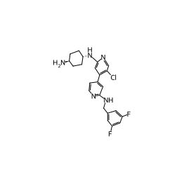 N[C@H]1CC[C@H](Nc2cc(-c3ccnc(NCc4cc(F)cc(F)c4)c3)c(Cl)cn2)CC1